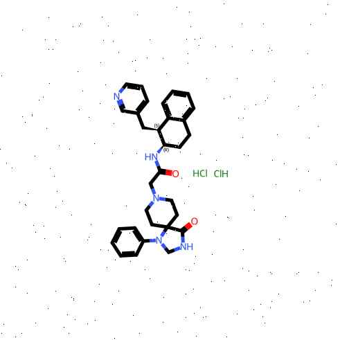 Cl.Cl.O=C(CN1CCC2(CC1)C(=O)NCN2c1ccccc1)N[C@@H]1CCc2ccccc2[C@@H]1Cc1cccnc1